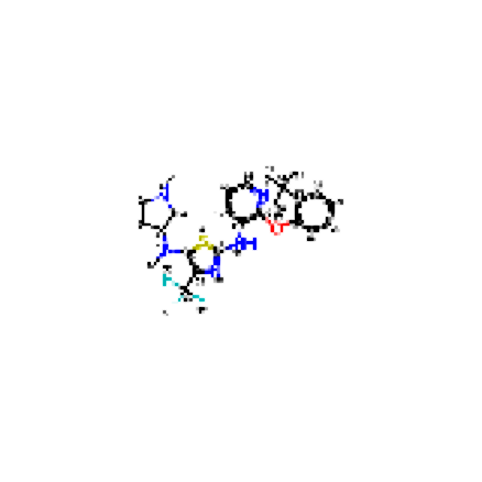 CN1CCC(N(C)c2sc(Nc3cccnc3Oc3ccccc3C(C)(C)C)nc2C(F)(F)F)C1